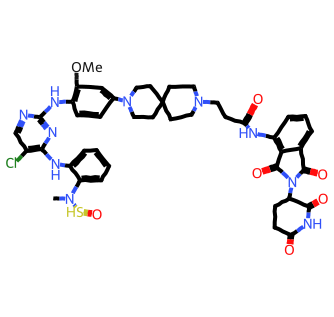 COc1cc(N2CCC3(CCN(CCC(=O)Nc4cccc5c4C(=O)N(C4CCC(=O)NC4=O)C5=O)CC3)CC2)ccc1Nc1ncc(Cl)c(Nc2ccccc2N(C)[SH]=O)n1